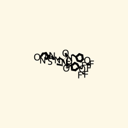 O=C(NCc1ccc(OC(F)(F)F)cc1)[C@H]1CN(c2nn3ccc(=O)nc3s2)CCN1S(=O)(=O)c1ccc(OC(F)F)cc1